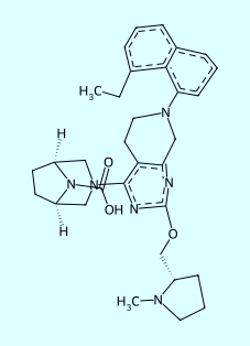 CCc1cccc2cccc(N3CCc4c(nc(OC[C@@H]5CCCN5C)nc4N4C[C@H]5CC[C@@H](C4)N5C(=O)O)C3)c12